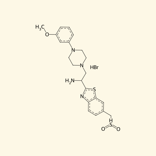 Br.COc1cccc(N2CCN(CC(N)c3nc4ccc(C[SH](=O)=O)cc4s3)CC2)c1